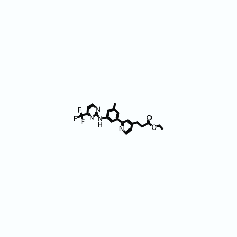 CCOC(=O)CCc1ccnc(-c2cc(C)cc(Nc3nccc(C(F)(F)F)n3)c2)c1